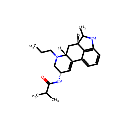 CCCN1C[C@@H](NC(=O)C(C)C)C=C2c3cccc4c3[C@H](C[C@H]21)C(C)N4